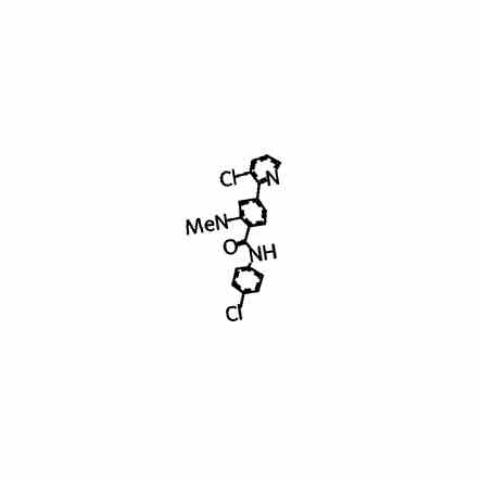 CNc1cc(-c2ncccc2Cl)ccc1C(=O)Nc1ccc(Cl)cc1